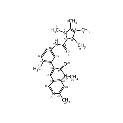 CC1=C(C)N(C)C(C(=O)Nc2ccc(C)c(-c3cc4cnc(C)cc4n(C)c3=O)c2)C1C